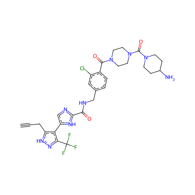 C#CCc1[nH]nc(C(F)(F)F)c1-c1cnc(C(=O)NCc2ccc(C(=O)N3CCN(C(=O)N4CCC(N)CC4)CC3)c(Cl)c2)[nH]1